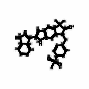 CC1(C)C(=O)N(Cc2ccc(S(C)(=O)=O)cc2)c2cc3[nH]c(-c4n[nH]c5ccccc45)nc3cc21